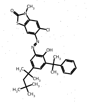 Cn1c(=O)sc2cc(N=Nc3cc(C(C)(C)CC(C)(C)C)cc(C(C)(C)c4ccccc4)c3O)c(Cl)cc21